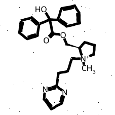 C[N+]1(CCCc2ncccn2)CCC[C@@H]1COC(=O)C(O)(c1ccccc1)c1ccccc1